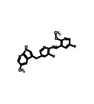 COc1ncc(F)cc1CNc1ncc(Cc2c[nH]c3ncc(C)cc23)cc1F